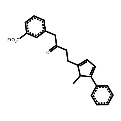 CCOC(=O)c1cccc(CC(=O)CCC2=CC=C(c3ccccc3)C2C)c1